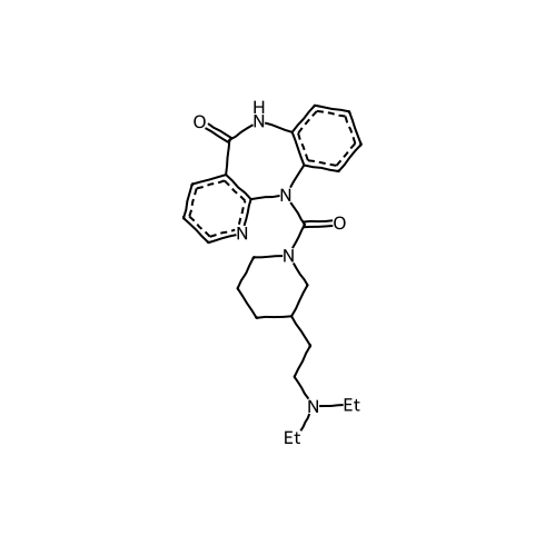 CCN(CC)CCC1CCCN(C(=O)N2c3ccccc3NC(=O)c3cccnc32)C1